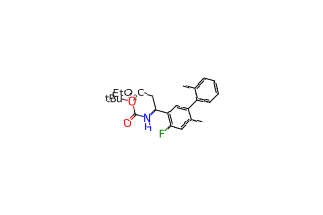 CCOC(=O)CC(NC(=O)OC(C)(C)C)c1cc(-c2ccccc2C)c(C)cc1F